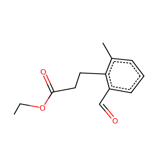 CCOC(=O)CCc1c(C)cccc1C=O